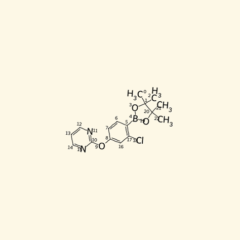 CC1(C)OB(c2ccc(Oc3ncccn3)cc2Cl)OC1(C)C